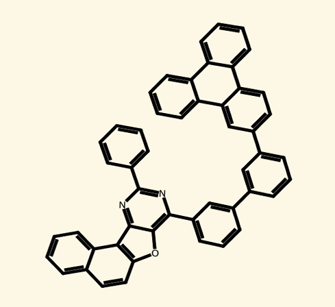 c1ccc(-c2nc(-c3cccc(-c4cccc(-c5ccc6c7ccccc7c7ccccc7c6c5)c4)c3)c3oc4ccc5ccccc5c4c3n2)cc1